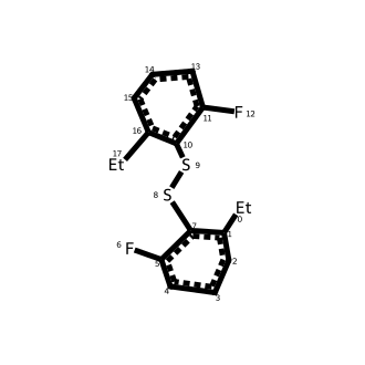 CCc1cccc(F)c1SSc1c(F)cccc1CC